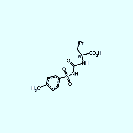 Cc1ccc(S(=O)(=O)NC(=O)N[C@@H](CC(C)C)C(=O)O)cc1